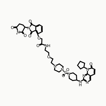 CN1C(=O)CCC(N2C(=O)c3cccc(OCC(=O)NCCOCCN4CCN(S(=O)(=O)N5CCC(Nc6ncc7ccc(=O)n(C8CCCC8)c7n6)CC5)CC4)c3C2=O)C1=O